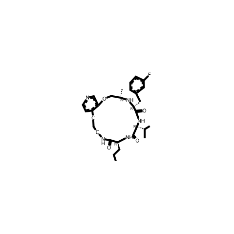 CCC[C@@H]1NC(=O)[C@@H](C(C)C)NC(=O)[C@@H](Cc2cccc(F)c2)N[C@@H](C)COc2cnccc2CCCNC1=O